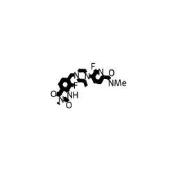 CNC(=O)c1ccc(N2CCN(Cc3ccc4c(=O)n(C)c(=O)[nH]c4c3F)CC2C)c(F)n1